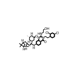 C[C@@H]1[C@@H](/N=C(/Nc2ccc3c(=O)n(CCc4ccc(Cl)cc4Cl)c(NCCO)nc3c2)N2CC(=O)N[C@@H](C)C2)C[C@@H]2C[C@H]1C2(C)C